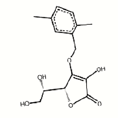 Cc1ccc(C)c(COC2=C(O)C(=O)O[C@@H]2[C@@H](O)CO)c1